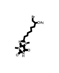 CC(=O)OC(CBr)CCCCCCc1nc2c(c(=O)[nH]c(=O)n2C)n1C